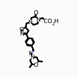 CC1CN(/N=C/c2ccc(C3=NOC(CN4CCN(CC(=O)O)C(=O)C4)C3)cc2)CC(C)O1